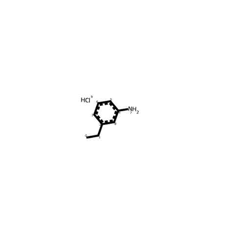 CCc1cccc(N)c1.Cl